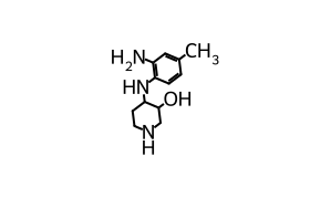 Cc1ccc(NC2CCNCC2O)c(N)c1